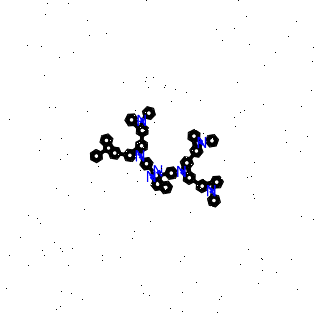 c1ccc(C2c3ccccc3-c3cc(-c4ccc5c(c4)c4cc(-c6ccc7c(c6)c6ccccc6n7-c6ccccc6)ccc4n5-c4ccc(-c5nc(-c6ccc(-n7c8ccc(-c9ccc%10c(c9)c9ccccc9n%10-c9ccccc9)cc8c8cc(-c9ccc%10c(c9)c9ccccc9n%10-c9ccccc9)ccc87)cc6)c6c(ccc7ccccc76)n5)cc4)ccc32)cc1